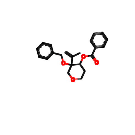 C=C(C)C1(OCc2ccccc2)COCCC1OC(=O)c1ccccc1